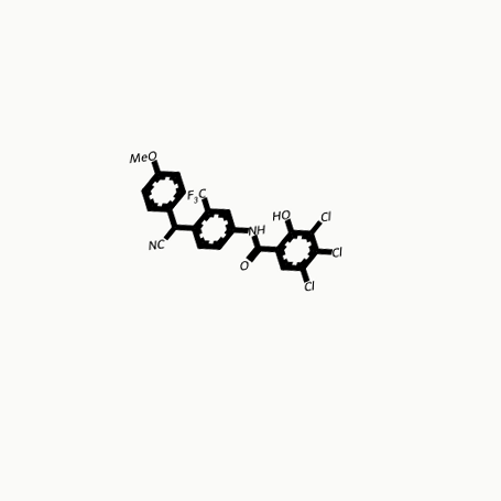 COc1ccc(C(C#N)c2ccc(NC(=O)c3cc(Cl)c(Cl)c(Cl)c3O)cc2C(F)(F)F)cc1